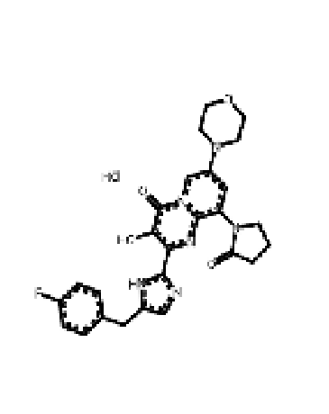 Cl.O=C1CCCN1c1cc(N2CCOCC2)cn2c(=O)c(O)c(-c3ncc(Cc4ccc(F)cc4)[nH]3)nc12